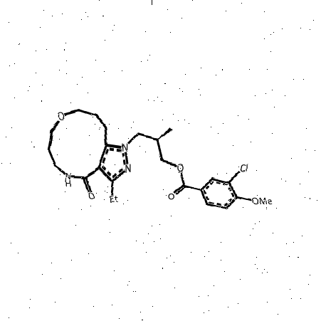 CCc1nn(C[C@@H](C)COC(=O)c2ccc(OC)c(Cl)c2)c2c1C(=O)NCCCOCCC2